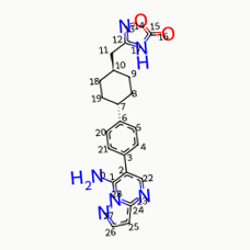 Nc1c(-c2ccc([C@H]3CC[C@H](Cc4noc(=O)[nH]4)CC3)cc2)cnc2ccnn12